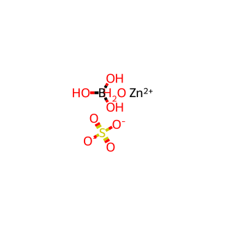 O.O=S(=O)([O-])[O-].OB(O)O.[Zn+2]